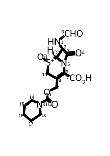 O=CNC1C(=O)N2C(C(=O)O)=C(COC(=O)N3CCCCC3)C[S+]([O-])[C@@H]12